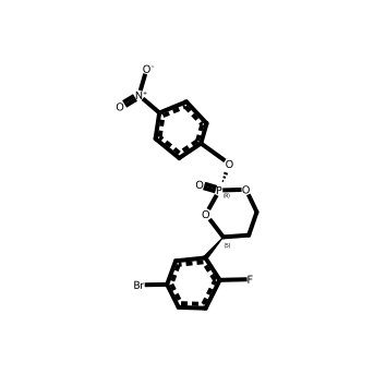 O=[N+]([O-])c1ccc(O[P@]2(=O)OCC[C@@H](c3cc(Br)ccc3F)O2)cc1